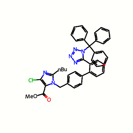 CCCCc1nc(Cl)c(C(=O)OC)n1Cc1ccc(-c2ccccc2-c2nnnn2C(c2ccccc2)(c2ccccc2)c2ccccc2)cc1